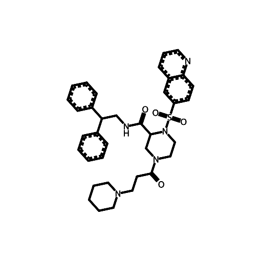 O=C(NCC(c1ccccc1)c1ccccc1)C1CN(C(=O)CCN2CCCCC2)CCN1S(=O)(=O)c1ccc2ncccc2c1